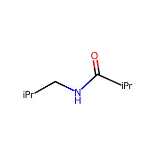 [CH2]C(C)CNC(=O)C(C)C